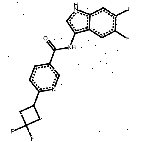 O=C(Nc1c[nH]c2cc(F)c(F)cc12)c1ccc(C2CC(F)(F)C2)nc1